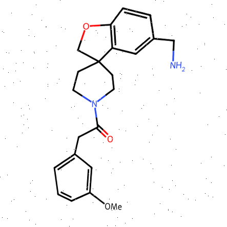 COc1cccc(CC(=O)N2CCC3(CC2)COc2ccc(CN)cc23)c1